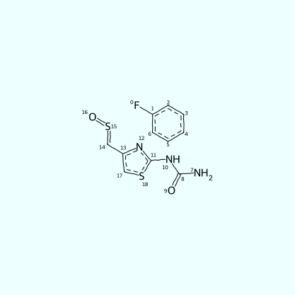 Fc1ccccc1.NC(=O)Nc1nc(C=S=O)cs1